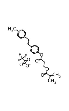 C=C(C)C(=O)OCCC(=O)Oc1ccc(C=Cc2cc[n+](C)cc2)cc1.O=S(=O)([O-])C(F)(F)F